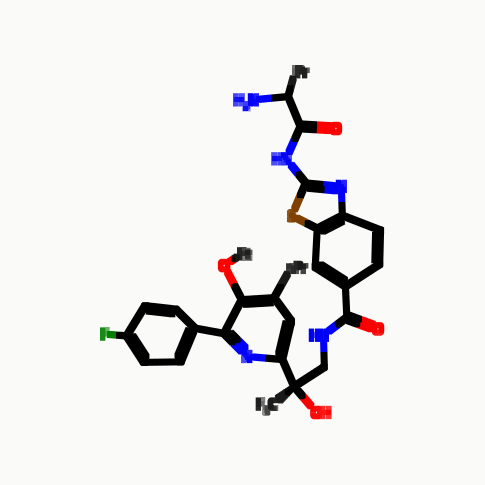 CCCc1cc([C@@](O)(CNC(=O)c2ccc3nc(NC(=O)C(N)C(C)C)sc3c2)C(F)(F)F)nc(-c2ccc(F)cc2)c1OCC